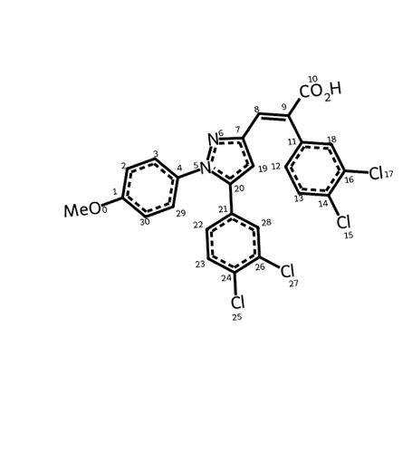 COc1ccc(-n2nc(/C=C(/C(=O)O)c3ccc(Cl)c(Cl)c3)cc2-c2ccc(Cl)c(Cl)c2)cc1